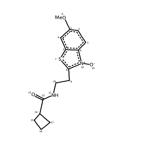 COc1ccc2c(c1)sc(CCNC(=O)C1CCC1)[n+]2[O-]